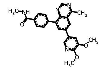 CNC(=O)c1ccc(-c2cc(-c3cnc(OC)c(OC)c3)cc3c(C)ncnc23)cc1